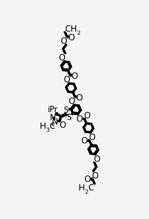 C=CC(=O)OCCCOc1ccc(C(=O)OC2CCC(C(=O)Oc3ccc(OC(=O)C4CCC(OC(=O)c5ccc(OCCCOC(=O)C=C)cc5)CC4)c4c3SC(=C3C(=O)N(C)N=C3C(C)C)S4)CC2)cc1